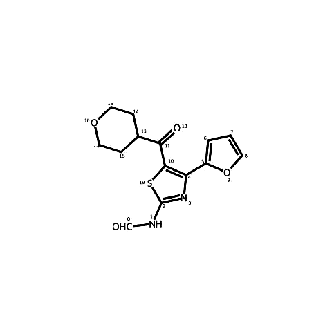 O=CNc1nc(-c2ccco2)c(C(=O)C2CCOCC2)s1